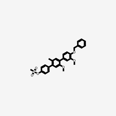 COc1cc(-c2cc(C)c(-c3ccc(OS(C)(=O)=O)cc3)cc2OC)ccc1OCc1ccccc1